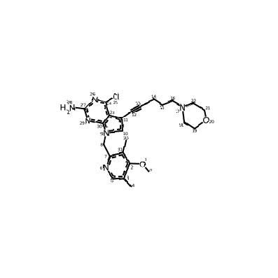 COc1c(C)cnc(Cn2cc(C#CCCCN3CCOCC3)c3c(Cl)nc(N)nc32)c1C